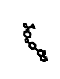 O=C(C1CC1)N1CCC(Oc2ccc(-c3cnc4sccc4c3)cc2)CC1